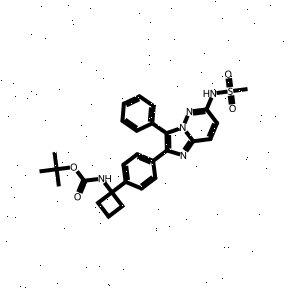 CC(C)(C)OC(=O)NC1(c2ccc(-c3nc4ccc(NS(C)(=O)=O)nn4c3-c3ccccc3)cc2)CCC1